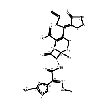 C=CCC(=C1CCNC1=O)C1=C(C(=O)O)N2C(=O)[C@@H](NC(=O)C(=NOC)c3csc(N)n3)[C@H]2SC1